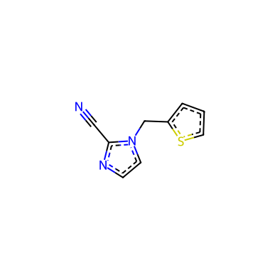 N#Cc1nccn1Cc1cccs1